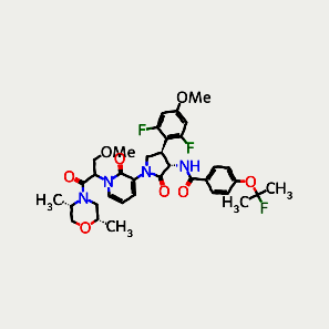 COCC(C(=O)N1C[C@H](C)OC[C@@H]1C)n1cccc(N2C[C@@H](c3c(F)cc(OC)cc3F)[C@H](NC(=O)c3ccc(OC(C)(C)F)cc3)C2=O)c1=O